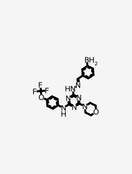 Bc1cccc(/C=N/Nc2nc(Nc3ccc(OC(F)(F)F)cc3)nc(N3CCOCC3)n2)c1